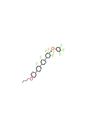 CCCCOc1ccc(-c2ccc(-c3ccc(-c4cc(F)c(C(F)(F)Oc5cc(F)c(F)c(F)c5)c(F)c4)c(F)c3)c(F)c2)cc1